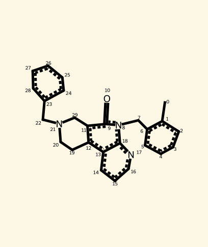 Cc1ccccc1Cn1c(=O)c2c(c3cccnc31)CCN(Cc1ccccc1)C2